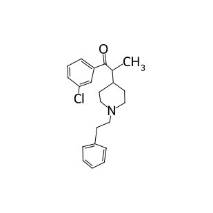 CC(C(=O)c1cccc(Cl)c1)C1CCN(CCc2ccccc2)CC1